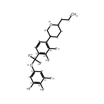 CCCC1CCC(c2ccc(C(F)(F)Oc3cc(F)c(F)c(F)c3)c(F)c2F)CO1